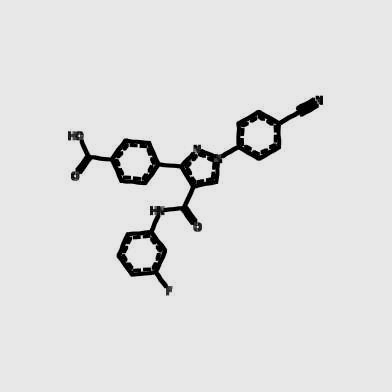 N#Cc1ccc(-n2cc(C(=O)Nc3cccc(F)c3)c(-c3ccc(C(=O)O)cc3)n2)cc1